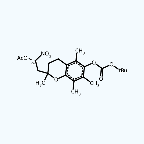 CC(=O)O[C@@H](CC1(C)CCc2c(C)c(OC(=O)OC(C)(C)C)c(C)c(C)c2O1)[N+](=O)[O-]